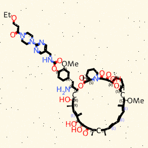 CCOCCC(=O)N1CCN(c2ncc(CNC(=O)O[C@@H]3CC[C@@H](C[C@@H](N)[C@@H]4C[C@@H](O)[C@H](C)/C=C(\C)[C@@H](O)[C@@H](O)C(=O)[C@H](C)C[C@H](C)/C=C/C=C/C=C(\C)[C@@H](OC)C[C@@H]5CC[C@@H](C)[C@@](O)(O5)C(=O)C(=O)N5CCCC[C@H]5C(=O)O4)C[C@H]3OC)cn2)CC1